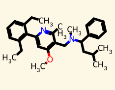 CCc1cccc(CC)c1-c1cc(OC)c(CN(C)C(CC(C)C)c2ccccc2)c(C)n1